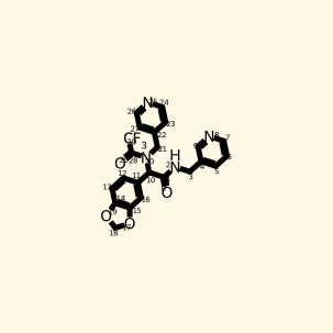 O=C(NCc1cccnc1)C(c1ccc2c(c1)OCO2)N(Cc1ccncc1)C(=O)C(F)(F)F